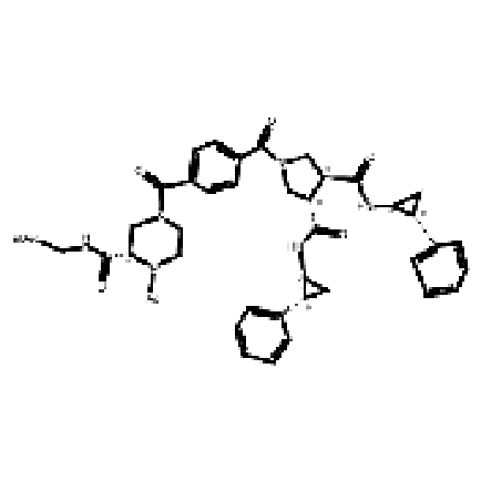 CCCCCCCCCCCNC(=O)[C@@H]1CN(C(=O)c2ccc(C(=O)N3C[C@@H](C(=O)N[C@H]4C[C@@H]4c4ccccc4)[C@H](C(=O)N[C@H]4C[C@@H]4c4ccccc4)C3)cc2)CCN1C(C)=O